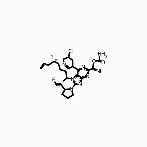 C=CC[C@H](C)CCCC(C)n1c(N2CCCC2/C=C/F)nc2nc(C(=N)OC(N)=O)nc(C3C=NCC(Cl)C3)c21